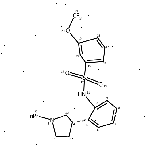 CCCN1CC[C@@H](c2ccccc2NS(=O)(=O)c2cccc(OC(F)(F)F)c2)C1